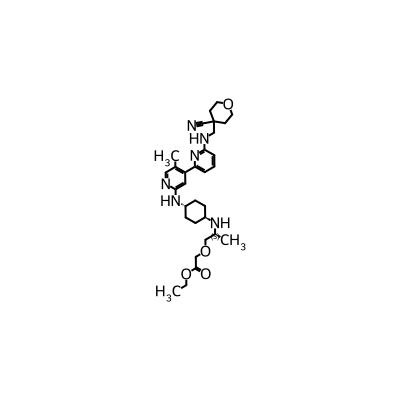 CCOC(=O)COC[C@H](C)N[C@H]1CC[C@H](Nc2cc(-c3cccc(NCC4(C#N)CCOCC4)n3)c(C)cn2)CC1